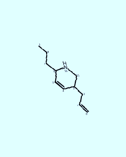 C=CCC1C=CC(CCC)NC1